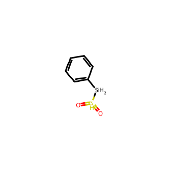 O=[SH](=O)[SiH2]c1ccccc1